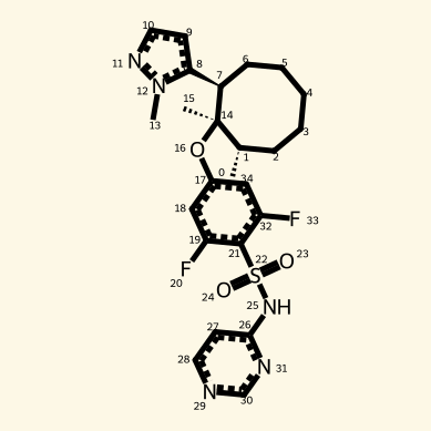 C[C@H]1CCCCC[C@H](c2ccnn2C)[C@]1(C)Oc1cc(F)c(S(=O)(=O)Nc2ccncn2)c(F)c1